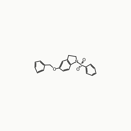 O=S(=O)(c1ccccc1)N1CCc2cc(OCc3ccccc3)ccc21